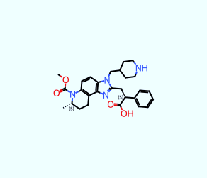 COC(=O)N1c2ccc3c(nc(C[C@H](C(=O)O)c4ccccc4)n3CC3CCNCC3)c2CC[C@@H]1C